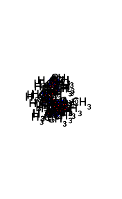 CCc1ccc(Cc2ccc(Cc3ccc(Cc4ccc(C)c(C(C)P(=NC(C)(C)C)(N(C)C)N(C)C)c4)c(N(C)P(=NC(C)(C)Cc4ccccc4)(C(C)C)N(C)C)c3)c(N(C)P(=NC(C)(C)C)(N(C)C)N(C)C)c2)c(N(C)P(=NC(C)(C)C)(N(C)C)N(C)C)c1